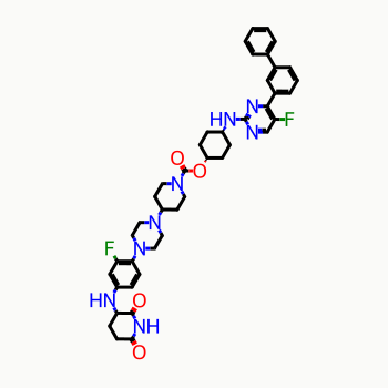 O=C1CCC(Nc2ccc(N3CCN(C4CCN(C(=O)O[C@H]5CC[C@H](Nc6ncc(F)c(-c7cccc(-c8ccccc8)c7)n6)CC5)CC4)CC3)c(F)c2)C(=O)N1